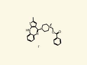 Cc1cc2c(s1)Nc1ccccc1N=C2N1CC[N+](C)(COC(=O)c2ccccc2)CC1.[I-]